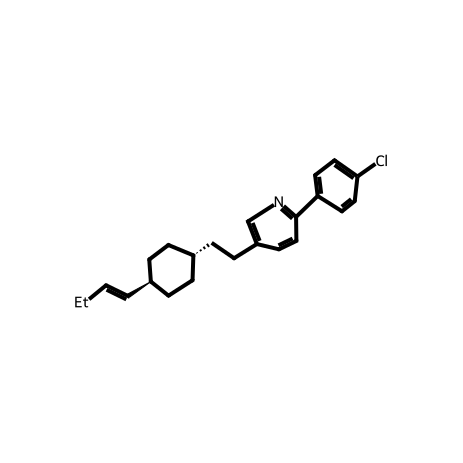 CCC=C[C@H]1CC[C@H](CCc2ccc(-c3ccc(Cl)cc3)nc2)CC1